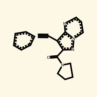 C#Cc1c(C(=O)N2CCCC2)nn2cccnc12.c1ccccc1